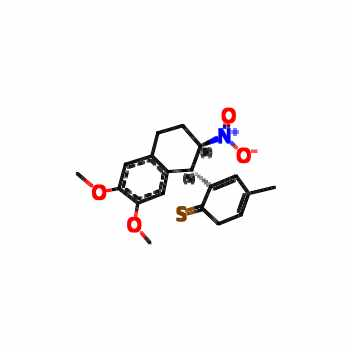 COc1cc2c(cc1OC)[C@@H](C1=CC(C)=CCC1=S)[C@H]([N+](=O)[O-])CC2